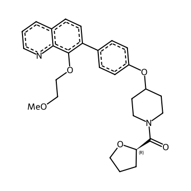 COCCOc1c(-c2ccc(OC3CCN(C(=O)[C@H]4CCCO4)CC3)cc2)ccc2cccnc12